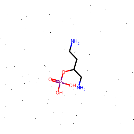 NCCC(CN)OP(=O)(O)O